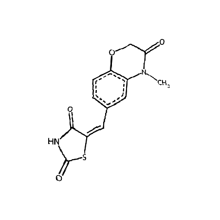 CN1C(=O)COc2ccc(C=C3SC(=O)NC3=O)cc21